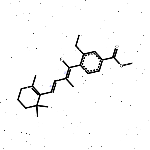 CCc1cc(C(=O)OC)ccc1/C(F)=C(C)/C=C/C1=C(C)CCCC1(C)C